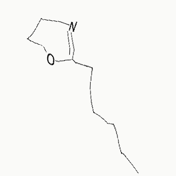 CCCCCC1=NCCO1